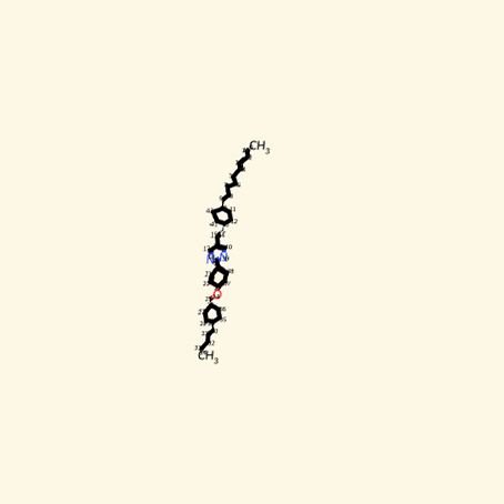 CCCCCCCCCC[C@H]1CC[C@H](CCc2cnc(-c3ccc(OC[C@H]4CC[C@H](CCCCC)CC4)cc3)nc2)CC1